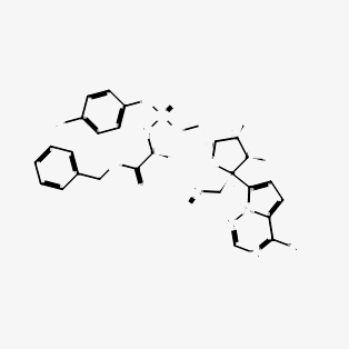 C=NC[C@@]1(c2ccc3c(N)ncnn23)O[C@H](COP(=O)(N[C@@H](C)C(=O)OCc2ccccc2)Oc2ccc(C(C)(C)C)cc2)[C@@H](O)[C@H]1O